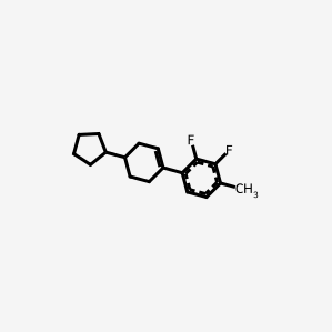 Cc1ccc(C2=CCC(C3CCCC3)CC2)c(F)c1F